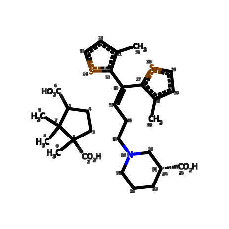 CC1(C(=O)O)CCC(C(=O)O)C1(C)C.Cc1ccsc1C(=CCCN1CCC[C@@H](C(=O)O)C1)c1sccc1C